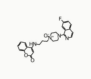 O=c1cc(NCCC[N+]2([O-])CCN(c3nccc4ccc(F)cc34)CC2)c2ccccc2o1